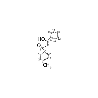 Cc1ccc(C(=O)C[C@@H](O)c2ccccc2)cc1